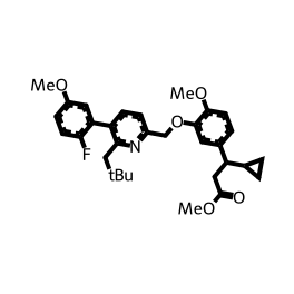 COC(=O)CC(c1ccc(OC)c(OCc2ccc(-c3cc(OC)ccc3F)c(CC(C)(C)C)n2)c1)C1CC1